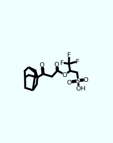 O=C(CC(=O)C12CC3CC(CC(C3)C1)C2)OC(CS(=O)(=O)O)C(F)(F)F